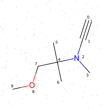 [C]#CN(C)C(C)(C)COC